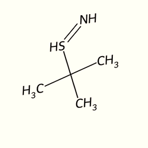 CC(C)(C)[SH]=N